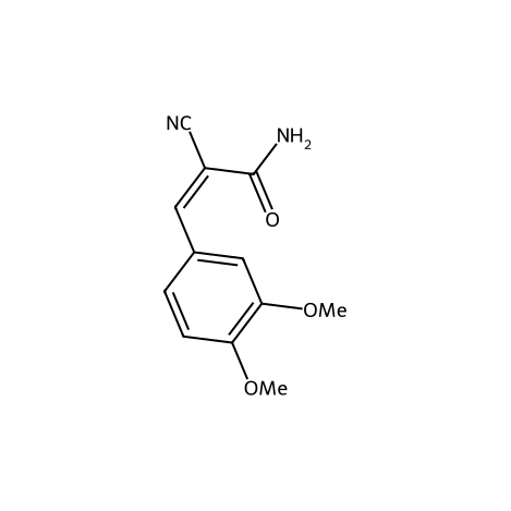 COc1ccc(C=C(C#N)C(N)=O)cc1OC